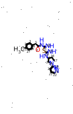 Cc1ccc(CC(=O)NC(=N)SC(=N)NC2CCN(c3cccnn3)C2)cc1